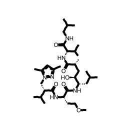 COCC[C@H](NC(=O)[C@@H](Cn1nc(C)cc1C)C(C)C)C(=O)N[C@@H](CC(C)C)[C@@H](O)C[C@@H](C)C(=O)N[C@H](C(=O)NCC(C)C)C(C)C